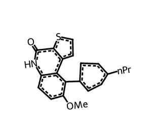 CCCc1ccc(-c2c(OC)ccc3[nH]c(=O)c4sccc4c23)cc1